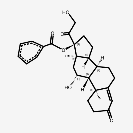 C[C@@]12CCC(=O)C=C1CC[C@H]1[C@H]2[C@H](O)C[C@]2(C)[C@@H]1CC[C@@]2(OC(=O)c1ccccc1)C(=O)CO